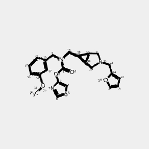 O=C(Oc1cscn1)N(Cc1cccc(OC(F)(F)F)c1)CC1C2CN(Cc3ccco3)CC21